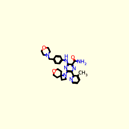 Cc1cccnc1-c1nc(C(N)=O)c(Nc2ccc(CN3CCOCC3)cc2)nc1N1CCC12CCOCC2